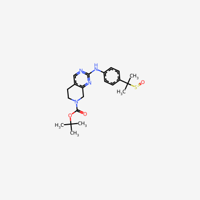 CC(C)(C)OC(=O)N1CCc2cnc(Nc3ccc(C(C)(C)[S+]=O)cc3)nc2C1